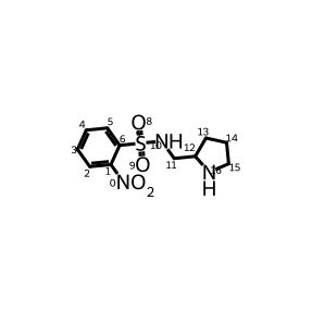 O=[N+]([O-])c1ccccc1S(=O)(=O)NCC1CCCN1